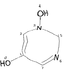 OC1=CN(O)[CH]N=C1